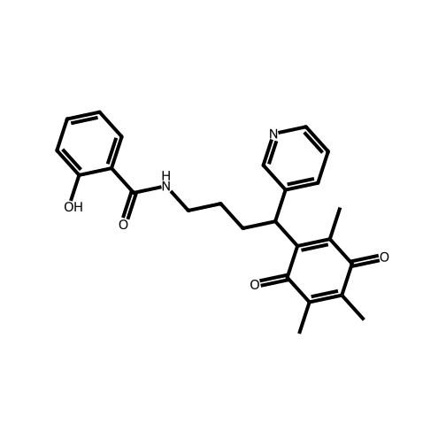 CC1=C(C)C(=O)C(C(CCCNC(=O)c2ccccc2O)c2cccnc2)=C(C)C1=O